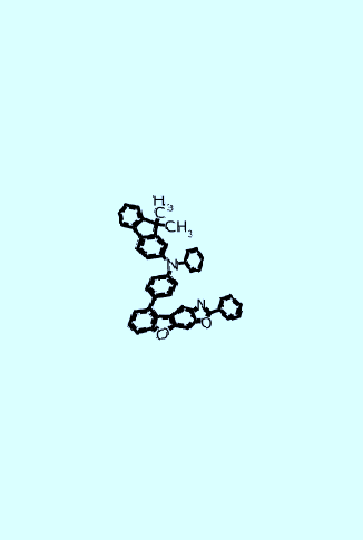 CC1(C)c2ccccc2-c2ccc(N(c3ccccc3)c3ccc(-c4cccc5oc6cc7oc(-c8ccccc8)nc7cc6c45)cc3)cc21